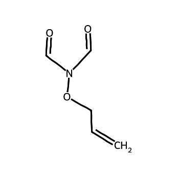 C=CCON(C=O)C=O